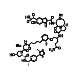 CC(=O)N1CC[C@H]2CC[C@@H](C(=O)N[C@@H](CCC(N)=O)COc3cccc(CCCCC(=O)N[C@H](C(=O)N4C[C@H](O)C[C@H]4C(=O)N[C@@H](C)c4ccc(-c5scnc5C)cc4)C(C)(C)C)c3F)N2C(=O)[C@@H](NC(=O)c2cc3cc(C(=O)P(=O)(O)O)ccc3[nH]2)C1